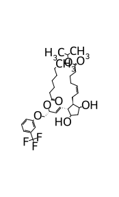 CCCCCCC(=O)O[C@H](/C=C/[C@@H]1[C@@H](C/C=C\CCCC(=O)OC(C)C)[C@@H](O)C[C@H]1O)COc1cccc(C(F)(F)F)c1